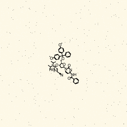 COc1ccc(C(OC[C@H]2O[C@@H](n3ccc(NC(=O)c4ccccc4)nc3=O)C[C@@H]2O[PH](O)(CCC#N)N(C(C)C)C(C)C)(c2ccccc2)c2ccc(OC)cc2)cc1